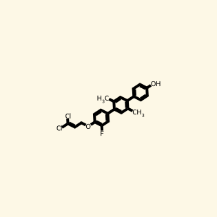 Cc1cc(-c2ccc(OCC=C(Cl)Cl)c(F)c2)c(C)cc1-c1ccc(O)cc1